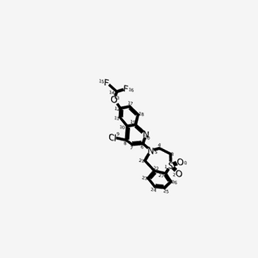 O=S1(=O)CCN(c2cc(Cl)c3cc(OC(F)F)ccc3n2)Cc2ccccc21